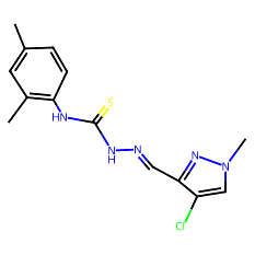 Cc1ccc(NC(=S)N/N=C/c2nn(C)cc2Cl)c(C)c1